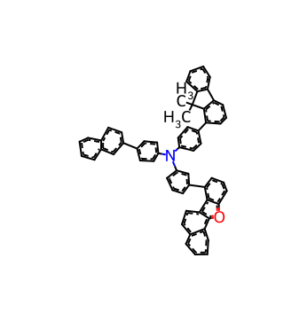 CC1(C)c2ccccc2-c2cccc(-c3ccc(N(c4ccc(-c5ccc6ccccc6c5)cc4)c4cccc(-c5cccc6oc7c8ccccc8ccc7c56)c4)cc3)c21